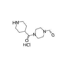 Cl.O=CN1CCN(C(=O)C2CCNCC2)CC1